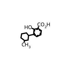 CC1CCCC(c2cccc(C(=O)O)c2O)C1